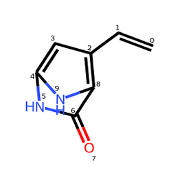 C=Cc1cc2[nH]c(=O)c1[nH]2